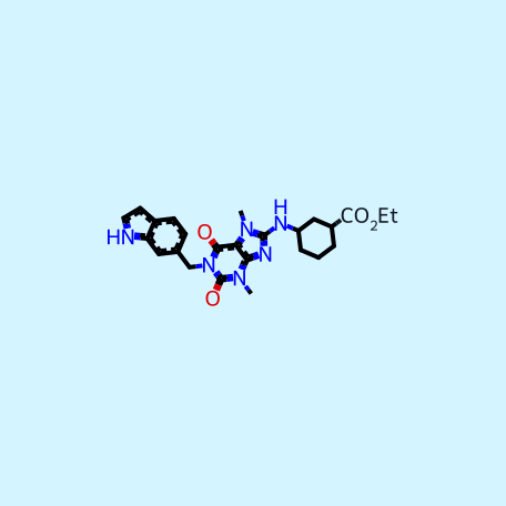 CCOC(=O)C1CCCC(Nc2nc3c(c(=O)n(Cc4ccc5cc[nH]c5c4)c(=O)n3C)n2C)C1